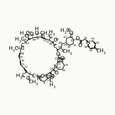 CO[C@H]1C[C@@H]2CC[C@@H](C)[C@@](O)(O2)C(=O)C(=O)N2CCCC[C@H]2C(=O)O[C@H]([C@H](C)C[C@@H]2CC[C@@H](OC(=O)C[n+]3ccc(C)cc3)[C@H](OC)C2)CC(=O)[C@H](C)/C=C(\C)[C@@H](O)[C@@H](OC)C(=O)[C@H](C)C[C@H](C)/C=C/C=C/C=C/1C